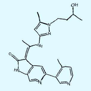 CC(Nc1cc(C)n(CCC(C)O)n1)=C1C(=O)Nc2cnc(-c3cnccc3C)cc21